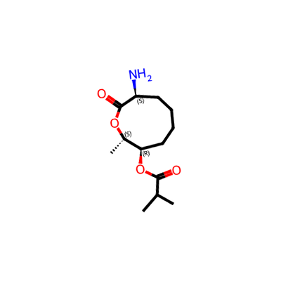 CC(C)C(=O)O[C@@H]1CCCC[C@H](N)C(=O)O[C@H]1C